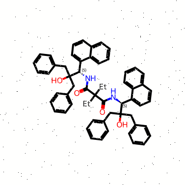 CCC(CC)(C(=O)N[C@@H](c1cccc2ccccc12)C(O)(Cc1ccccc1)Cc1ccccc1)C(=O)N[C@@H](c1cccc2ccccc12)C(O)(Cc1ccccc1)Cc1ccccc1